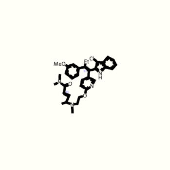 CC/C(=C(/c1ccc(OCCN(C)C(C)/C=C/C(=O)N(C)C)nc1)c1[nH]c2ccccc2c1Cl)c1cccc(OC)c1